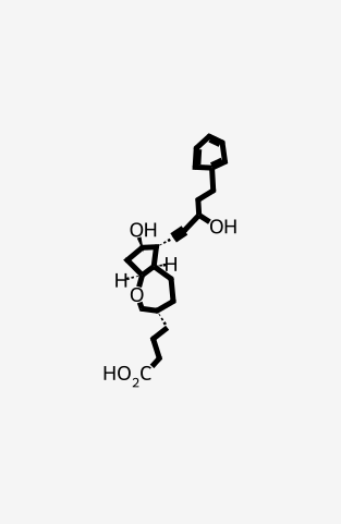 O=C(O)CCC[C@H]1CC[C@@H]2[C@@H](C#CC(O)CCc3ccccc3)[C@H](O)C[C@@H]2OC1